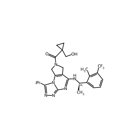 Cc1c([C@@H](C)Nc2nc3nnc(C(C)C)n3c3c2CN(C(=O)C2(CO)CC2)C3)cccc1C(F)(F)F